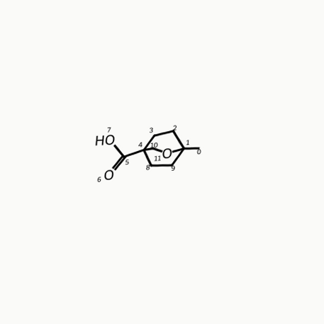 CC12CCC(C(=O)O)(CC1)CO2